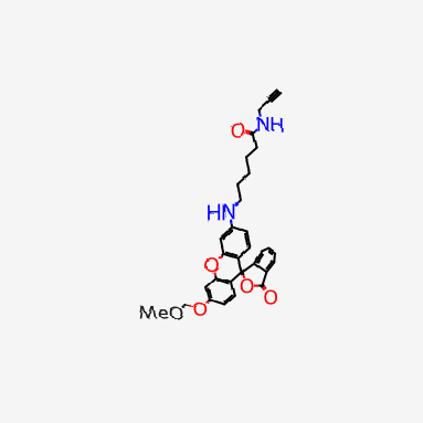 C#CCNC(=O)CCCCCNc1ccc2c(c1)Oc1cc(OCOC)ccc1C21OC(=O)c2ccccc21